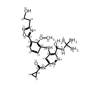 BC(B)(B)NC(=O)c1nnc(NC(=O)C2CC2)cc1Nc1cccc(-c2nc(CCO)no2)c1OC